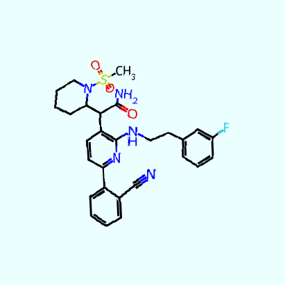 CS(=O)(=O)N1CCCCC1C(C(N)=O)c1ccc(-c2ccccc2C#N)nc1NCCc1cccc(F)c1